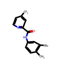 Cc1ccc(NC(=O)c2cc(C(F)(F)F)ccn2)cc1C(C)(C)C